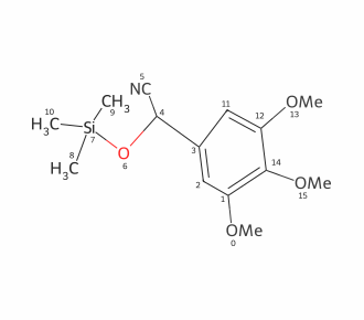 COc1cc(C(C#N)O[Si](C)(C)C)cc(OC)c1OC